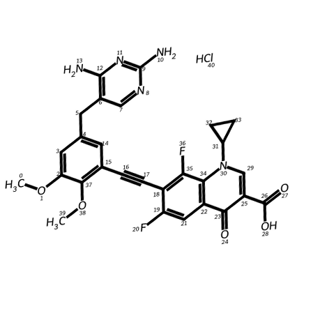 COc1cc(Cc2cnc(N)nc2N)cc(C#Cc2c(F)cc3c(=O)c(C(=O)O)cn(C4CC4)c3c2F)c1OC.Cl